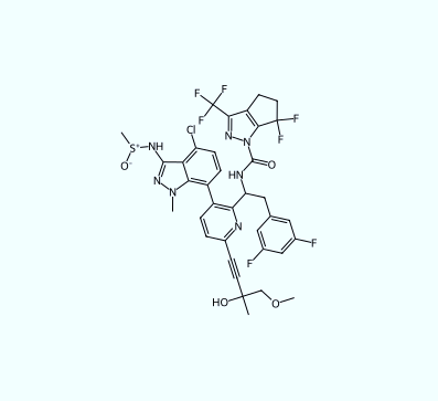 COCC(C)(O)C#Cc1ccc(-c2ccc(Cl)c3c(N[S+](C)[O-])nn(C)c23)c(C(Cc2cc(F)cc(F)c2)NC(=O)n2nc(C(F)(F)F)c3c2C(F)(F)CC3)n1